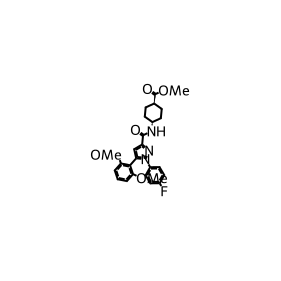 COc1cccc(OC)c1-c1cc(C(=O)N[C@H]2CC[C@H](C(=O)OC)CC2)nn1-c1ccc(F)cc1